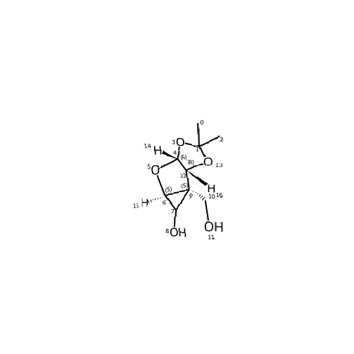 CC1(C)O[C@H]2O[C@@H]3C(O)[C@]3(CO)[C@H]2O1